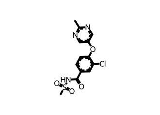 Cc1ncc(Oc2ccc(C(=O)NS(C)(=O)=O)cc2Cl)cn1